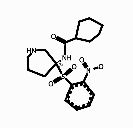 O=C(N[C@]1(S(=O)(=O)c2ccccc2[N+](=O)[O-])CCCNC1)C1CCCCC1